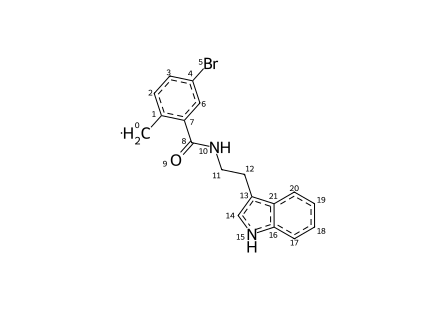 [CH2]c1ccc(Br)cc1C(=O)NCCc1c[nH]c2ccccc12